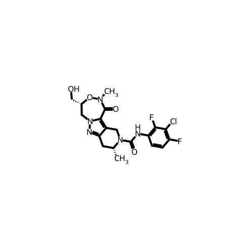 C[C@@H]1Cc2nn3c(c2CN1C(=O)Nc1ccc(F)c(Cl)c1F)C(=O)N(C)O[C@@H](CO)C3